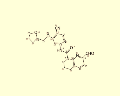 N#Cc1cnc(NC(=O)N2CCCc3ccc(C=O)nc32)cc1OCC1CCCO1